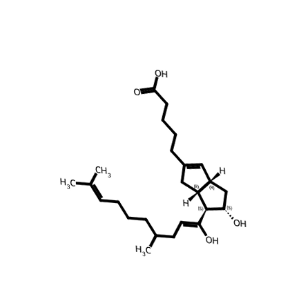 CC(C)=CCCCC(C)CC=C(O)[C@H]1[C@@H]2CC(CCCCC(=O)O)=C[C@@H]2C[C@@H]1O